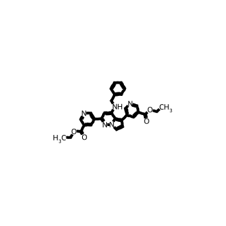 CCOC(=O)c1cncc(-c2cc(NCc3ccccc3)c3c(-c4cncc(C(=O)OCC)c4)ccn3n2)c1